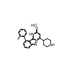 Cc1ccccc1-c1cccc2nn3c(C4CCNCC4)cc(=O)[nH]c3c12.Cl